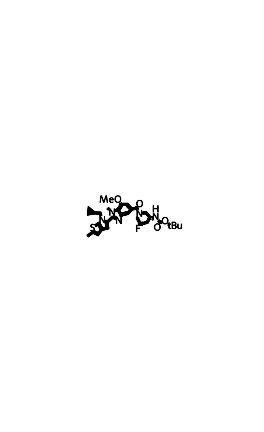 COc1cc(C(=O)N2C[C@H](F)C[C@@H](NC(=O)OC(C)(C)C)C2)cc2nc(-c3cc4cc(C)sc4n3CC3CC3)n(C)c12